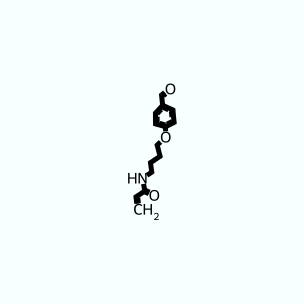 C=CC(=O)NCCCCOc1ccc(C=O)cc1